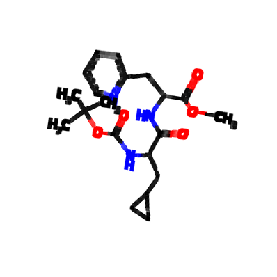 COC(=O)C(Cc1ccccn1)NC(=O)C(CC1CC1)NC(=O)OC(C)(C)C